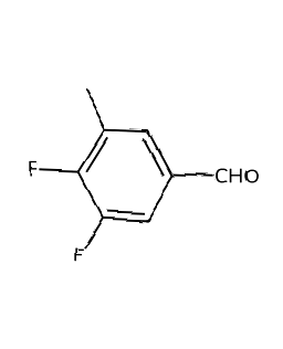 Cc1cc(C=O)cc(F)c1F